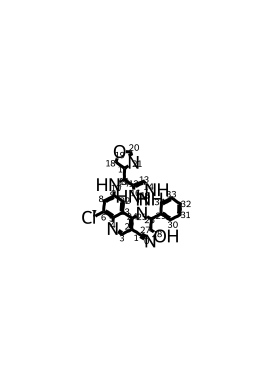 N#Cc1cnc2c(Cl)cc(N[C@H](C3=CNNN3)C3COC=N3)cc2c1NC(CO)c1ccccc1